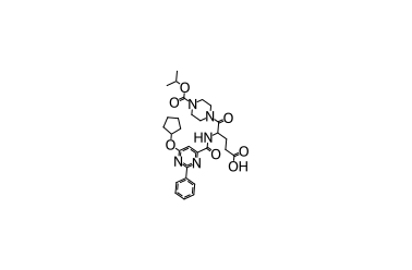 CC(C)OC(=O)N1CCN(C(=O)C(CCC(=O)O)NC(=O)c2cc(OC3CCCC3)nc(-c3ccccc3)n2)CC1